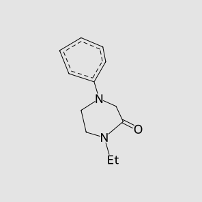 [CH2]CN1CCN(c2ccccc2)CC1=O